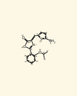 Bc1ccc(/C=C2\N=C(c3ccccc3OC(C)C)OC2=O)s1